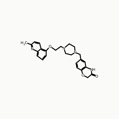 Cc1ccc2c(OCCN3CCN(Cc4ccc5c(c4)NC(=O)CO5)CC3)cccc2n1